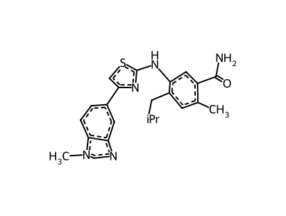 Cc1cc(CC(C)C)c(Nc2nc(-c3ccc4c(c3)ncn4C)cs2)cc1C(N)=O